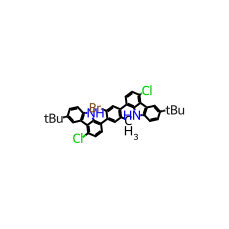 Cc1cc(-c2ccc(Cl)c3c2[nH]c2ccc(C(C)(C)C)cc23)c(Br)cc1-c1ccc(Cl)c2c1[nH]c1ccc(C(C)(C)C)cc12